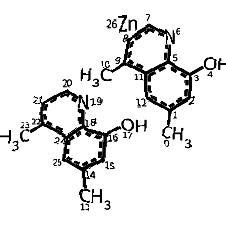 Cc1cc(O)c2nccc(C)c2c1.Cc1cc(O)c2nccc(C)c2c1.[Zn]